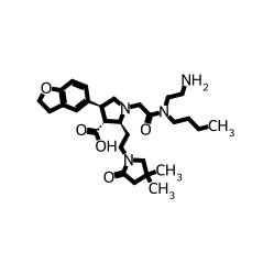 CCCCN(CCN)C(=O)CN1C[C@H](c2ccc3c(c2)CCO3)[C@@H](C(=O)O)[C@@H]1CCN1CC(C)(C)CC1=O